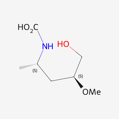 CO[C@H](CO)C[C@H](C)NC(=O)O